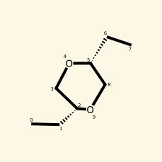 CC[C@@H]1CO[C@H](CC)CO1